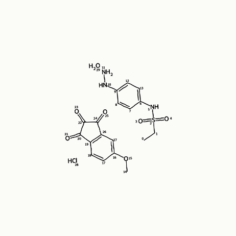 CCS(=O)(=O)Nc1ccc(NN)cc1.COc1ccc2c(=O)c(=O)c(=O)c2c1.Cl.O